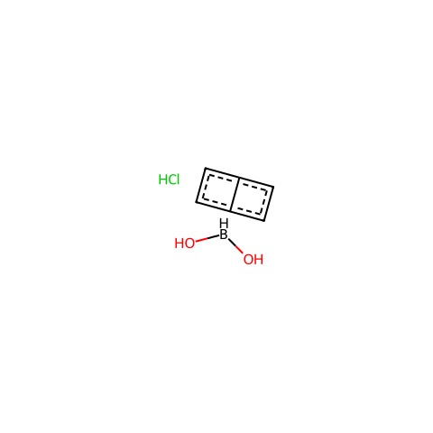 Cl.OBO.c1cc2ccc1-2